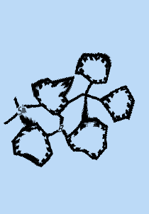 C[Si]1(C)c2ccccc2B2c3ccccc3C(c3ccccc3)(c3ccccc3)c3cccc1c32